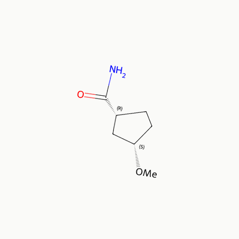 CO[C@H]1CC[C@@H](C(N)=O)C1